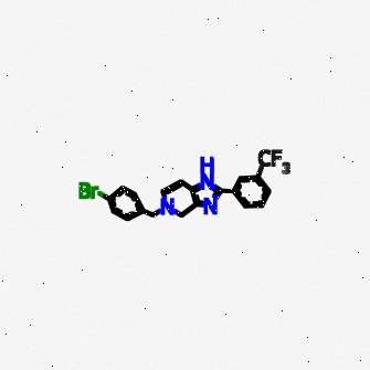 FC(F)(F)c1cccc(-c2nc3c([nH]2)C=CN(Cc2ccc(Br)cc2)C3)c1